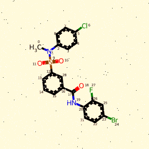 CN(c1ccc(Cl)cc1)S(=O)(=O)c1cccc(C(=O)Nc2ccc(Br)cc2F)c1